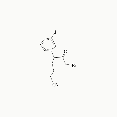 N#CCCCC(C(=O)CBr)c1cccc(I)c1